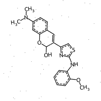 COc1ccccc1Nc1nc(C2=Cc3ccc(N(C)C)cc3OC2O)cs1